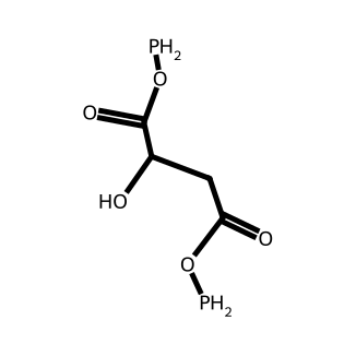 O=C(CC(O)C(=O)OP)OP